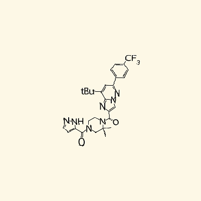 CC(C)(C)c1cc(-c2ccc(C(F)(F)F)cc2)nn2cc(C(=O)N3CCN(C(=O)c4ccn[nH]4)CC3(C)C)nc12